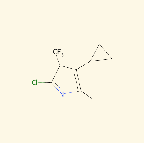 CC1=C(C2CC2)C(C(F)(F)F)C(Cl)=N1